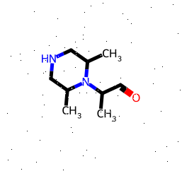 CC(C=O)N1C(C)CNCC1C